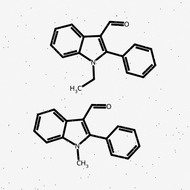 CCn1c(-c2ccccc2)c(C=O)c2ccccc21.Cn1c(-c2ccccc2)c(C=O)c2ccccc21